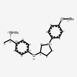 CCC(C)Oc1ccc(N2CCC(Oc3ccc([C@H](C)NC(C)=O)cc3)C2)cc1